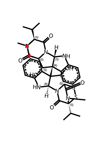 CC(C)[C@@]12SS[C@]3(C(=O)N1C)C(O)C1([C@]45c6ccccc6N[C@H]4N4C(=O)[C@]6(C(C)C)SS[C@]4(C(=O)N6C)[C@H]5O)c4ccccc4N[C@@H]1N3C2=O